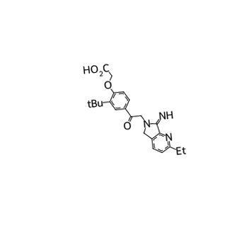 CCc1ccc2c(n1)C(=N)N(CC(=O)c1ccc(OCC(=O)O)c(C(C)(C)C)c1)C2